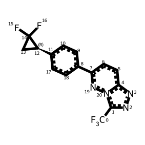 FC(F)(F)c1nnc2ccc(-c3ccc([C@H]4CC4(F)F)cc3)nn12